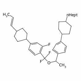 C/C=C/C1CCC(c2ccc(C(F)(F)OC(C)c3ccc(C4CCC(CCCCCCC)CC4)cc3)c(F)c2)CC1